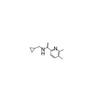 C=C(NCC1CC1)c1ccc(C)c(C)n1